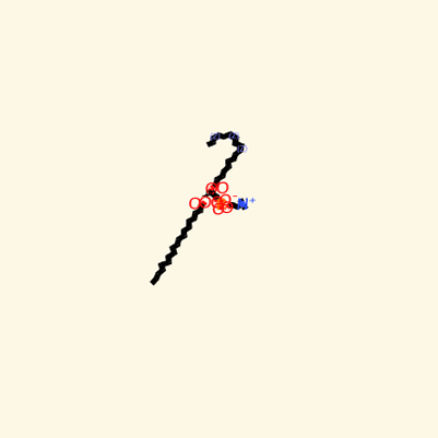 CC/C=C\C/C=C\C/C=C\CCCCCCCC(=O)O[C@H](COC(=O)CCCCCCCCCCCCCCCCCC)COP(=O)([O-])OCC[N+](C)(C)C